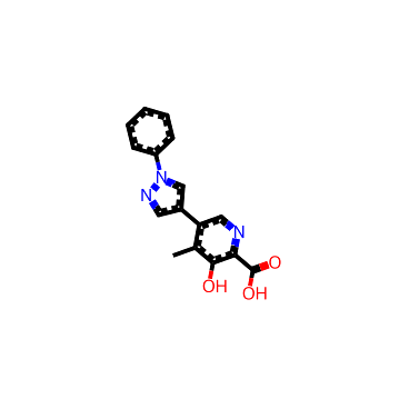 Cc1c(-c2cnn(-c3ccccc3)c2)cnc(C(=O)O)c1O